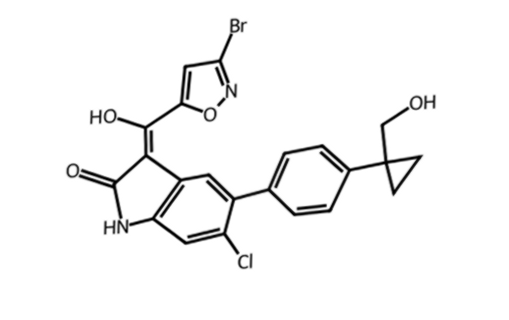 O=C1Nc2cc(Cl)c(-c3ccc(C4(CO)CC4)cc3)cc2/C1=C(/O)c1cc(Br)no1